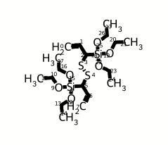 C=CC(SSC(C=C)[Si](OCC)(OCC)OCC)[Si](OCC)(OCC)OCC